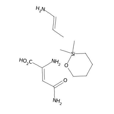 CC=CN.C[Si]1(C)CCCCO1.NC(=O)C=C(N)C(=O)O